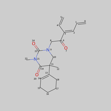 C=C/C=C(\C=C)C(=O)CN1CC(C)(C2=CCCCC2)C(=O)N(C)C1=O